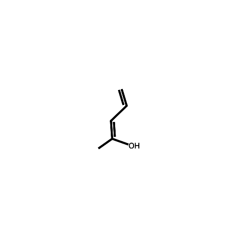 C=CC=C(C)O